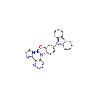 c1cnc2c(c1)N1B(Oc3cc(-n4c5ccccc5c5ccccc54)ccc31)n1ccnc1-2